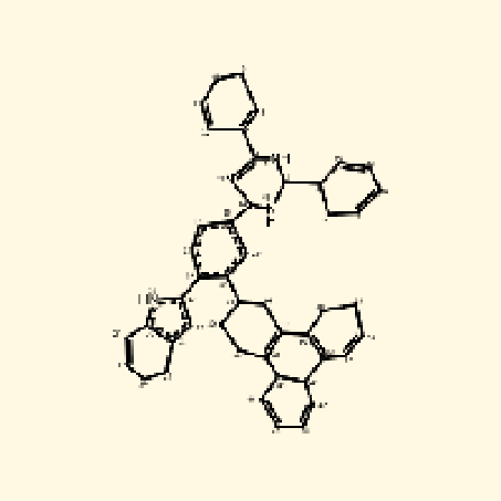 C1=CCC(C2NC(C3=CCCC=C3)=NC(c3ccc(-c4cc5c([nH]4)C=CCC5)c(C4CCC5=C(C4)C4=C(C=CCC4)C4C=CC=CC54)c3)N2)C=C1